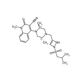 CC(C)CS(=O)(=O)n1cc(CN2C[C@H](C)N(c3c(C#N)c(=O)n(C)c4ccccc34)C[C@H]2C)[nH]1